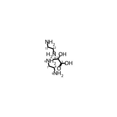 CC(O)C(=O)O.NCCN.NCCN